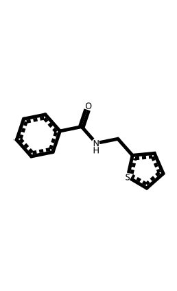 O=C(NCc1cccs1)c1cc[c]cc1